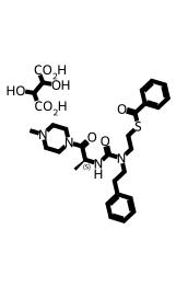 C[C@H](NC(=O)N(CCSC(=O)c1ccccc1)CCc1ccccc1)C(=O)N1CCN(C)CC1.O=C(O)C(O)C(O)C(=O)O